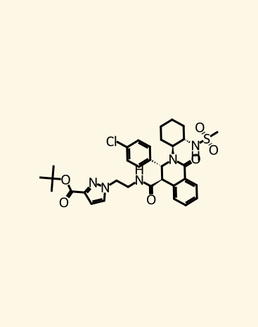 CC(C)(C)OC(=O)c1ccn(CCNC(=O)[C@@H]2c3ccccc3C(=O)N([C@H]3CCCC[C@@H]3NS(C)(=O)=O)[C@H]2c2ccc(Cl)cc2)n1